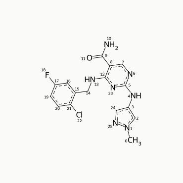 Cn1cc(Nc2ncc(C(N)=O)c(NCc3cc(F)ccc3Cl)n2)cn1